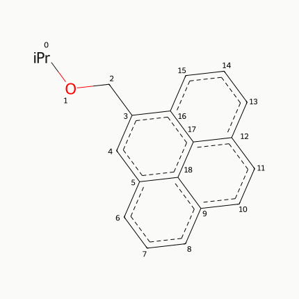 CC(C)OCc1cc2cccc3ccc4cccc1c4c32